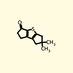 CC1(C)Cc2sc3c(c2C1)CCC3=O